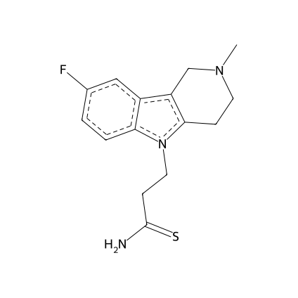 CN1CCc2c(c3cc(F)ccc3n2CCC(N)=S)C1